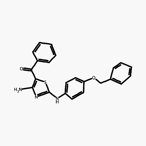 Nc1nc(Nc2ccc(OCc3ccccc3)cc2)sc1C(=O)c1ccccc1